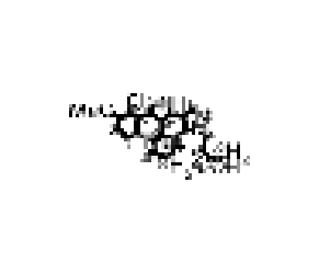 COc1cccc(-c2c[nH]c(-c3cnn(CCC(C)(C)O)c3C)c2-c2ncccn2)c1Cl